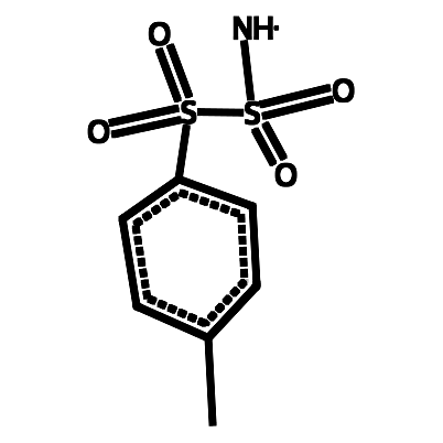 Cc1ccc(S(=O)(=O)S([NH])(=O)=O)cc1